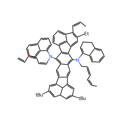 C=C/C=C\C=C/N(c1cccc2ccccc12)c1c2c(c(N(C/C=C\C=C/C)C3=CCCc4ccccc43)c3cc4c(cc13)C1=CC(C(C)(C)C)=CC3C=C(C(C)(C)C)C=C4C13)-c1cc(CC)c(/C=C\C)c3cccc-2c13